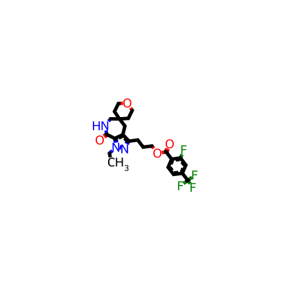 CCn1nc(CCCOC(=O)c2ccc(C(F)(F)F)cc2F)c2c1C(=O)NCC1(CCOCC1)C2